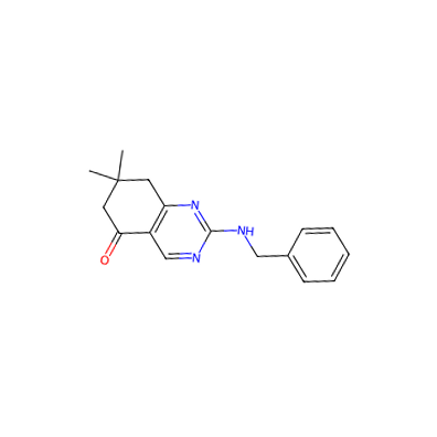 CC1(C)CC(=O)c2cnc(NCc3ccccc3)nc2C1